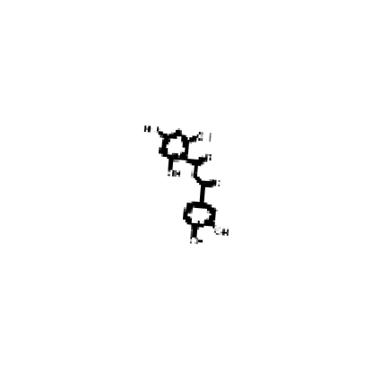 O=C(CC(=O)c1c(O)cc(O)cc1O)c1ccc(O)c(O)c1